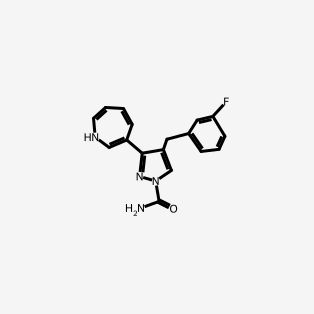 NC(=O)n1cc(Cc2cccc(F)c2)c(C2=CNC=CC=C2)n1